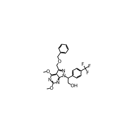 COc1nc(OC)c2c(COCc3ccccc3)nn(C(CO)c3ccc(C(F)(F)F)cc3)c2n1